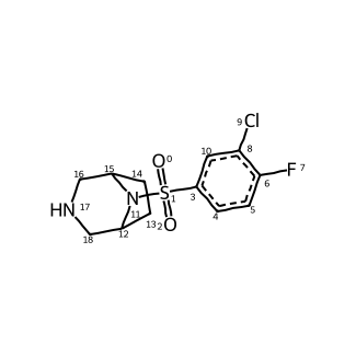 O=S(=O)(c1ccc(F)c(Cl)c1)N1C2CCC1CNC2